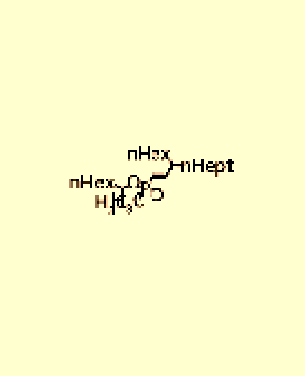 CCCCCCCC(/C=C/P(C)(=O)OC(C)CCCCCC)CCCCCC